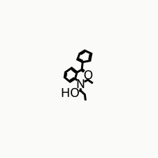 CCC(O)N(CC)c1ccccc1C(=O)c1ccccc1